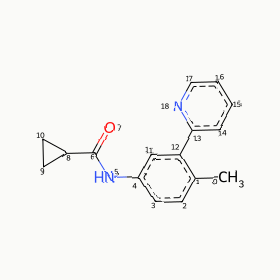 Cc1ccc(NC(=O)C2CC2)cc1-c1ccccn1